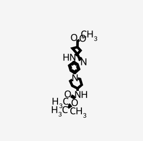 COC(=O)C1CC(C#N)(Nc2ccc(N3CCC(NC(=O)OC(C)(C)C)CC3)cc2)C1